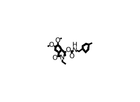 CCn1cc(OC(=O)NCc2ccc(C)cc2)c2cc(OC)c(OC)cc2c1=O